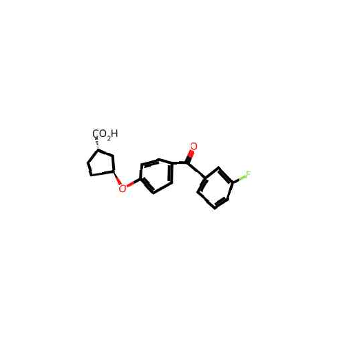 O=C(c1ccc(O[C@H]2CC[C@H](C(=O)O)C2)cc1)c1cccc(F)c1